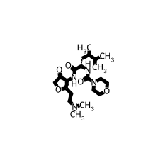 CC(C)C(C)C[C@H](NC(=O)N1CCOCC1)C(=O)NC1C(=O)COC1CCN(C)C